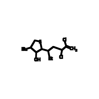 C=C(Cl)C(Cl)CC(CC)C1SCC(C(C)CC)C1O